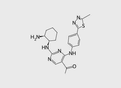 CC(=O)c1cnc(N[C@@H]2CCCC[C@@H]2N)nc1Nc1ccc(-c2nnc(C)s2)cc1